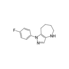 Fc1ccc(-n2ncc3c2CCCCN3)cc1